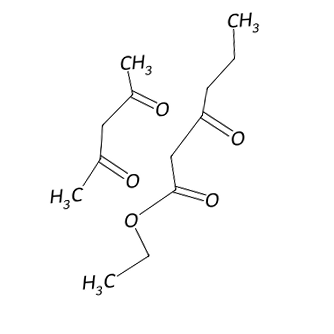 CC(=O)CC(C)=O.CCCC(=O)CC(=O)OCC